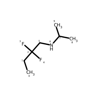 CCC(F)(F)CNC(C)C